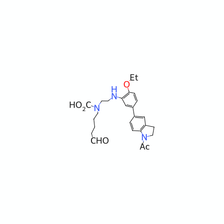 CCOc1ccc(-c2ccc3c(c2)CCN3C(C)=O)cc1NCCN(CCCCC=O)C(=O)O